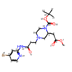 COC(=O)CC1CN(CCC(=O)Nc2cc(Br)ccn2)CCN1C(=O)OC(C)(C)C